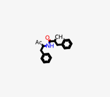 CC(=O)C(Cc1ccccc1)NC(=O)C(C)Cc1ccccc1